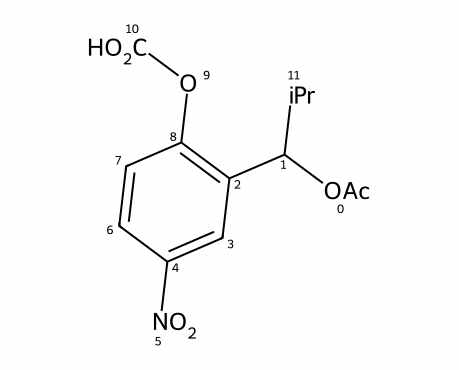 CC(=O)OC(c1cc([N+](=O)[O-])ccc1OC(=O)O)C(C)C